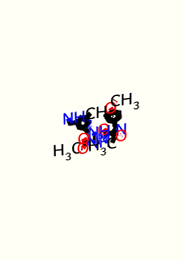 COC(=O)N/C(=N/C(=O)c1c(-c2ccc(OC)cc2)noc1C)NCc1cc(C)cc(CN)c1